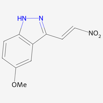 COc1ccc2[nH]nc(C=C[N+](=O)[O-])c2c1